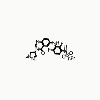 CCCS(=O)(=O)Nc1ccc(F)c(Nc2ccc3ncn(C4C=NN(C)C4)c(=O)c3c2)c1F